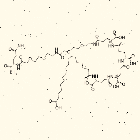 BC(=O)C(CCC(N)=O)NC(=O)COCCOCCNC(=O)COCCOCCNC(=O)CC[C@H](NC(=O)CCC(NC(=O)CC[C@H](NC(=O)CCC(NC(=O)CCCCCCCCCCCCCCCCC(=O)O)C(=O)O)C(=O)O)C(=O)O)C(=O)O